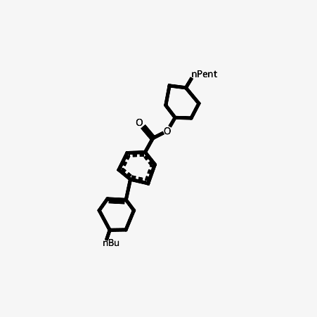 CCCCCC1CCC(OC(=O)c2ccc(C3=CCC(CCCC)CC3)cc2)CC1